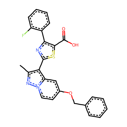 Cc1nn2ccc(OCc3ccccc3)cc2c1-c1nc(-c2ccccc2F)c(C(=O)O)s1